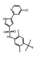 O=S(=O)(Nc1cc(F)c(C(F)(F)F)cc1F)c1c[nH]c(-c2cc(Cl)ccn2)c1